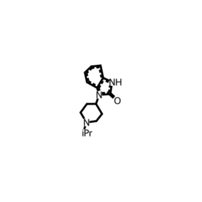 CC(C)N1CCC(n2c(=O)[nH]c3ccccc32)CC1